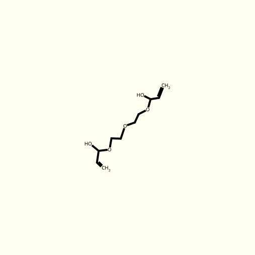 C=CC(O)OCCOCCOC(O)C=C